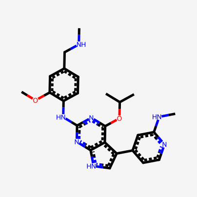 CNCc1ccc(Nc2nc(OC(C)C)c3c(-c4ccnc(NC)c4)c[nH]c3n2)c(OC)c1